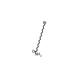 NC(=O)CCCCCCCCCCCCCCCBr